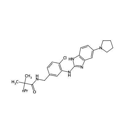 CCCC(C)(C)C(=O)NCc1ccc(Cl)c(Nc2nc3cc(N4CCCC4)ccc3[nH]2)c1